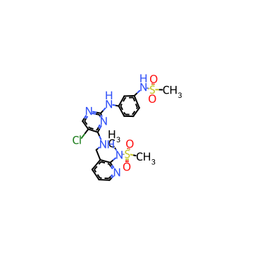 CN(c1ncccc1CNc1nc(Nc2cccc(NS(C)(=O)=O)c2)ncc1Cl)S(C)(=O)=O